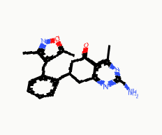 Cc1nc(N)nc2c1C(=O)CC(c1ccccc1-c1c(C)noc1C)C2